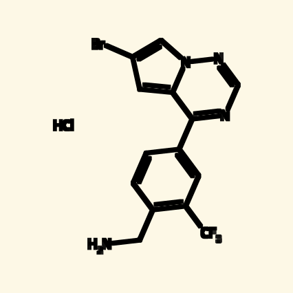 Cl.NCc1ccc(-c2ncnn3cc(Br)cc23)cc1C(F)(F)F